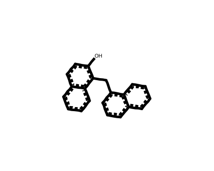 Oc1ccc2ccccc2c1Cc1cccc2ccccc12